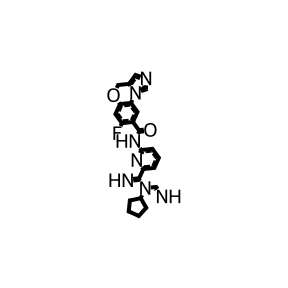 N=CN(C(=N)c1cccc(NC(=O)c2cc3c(cc2F)OCc2cncn2-3)n1)C1CCCC1